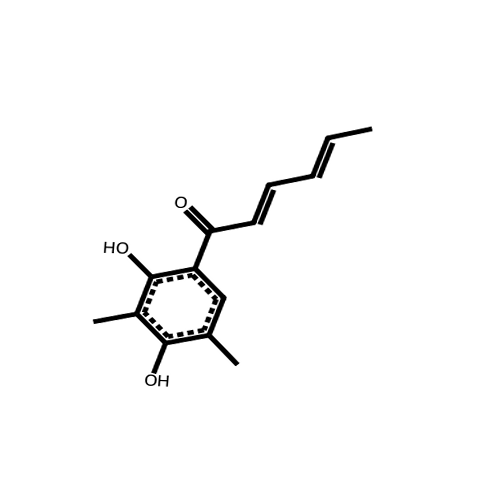 CC=CC=CC(=O)c1cc(C)c(O)c(C)c1O